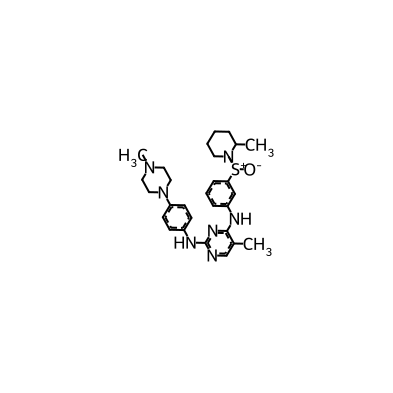 Cc1cnc(Nc2ccc(N3CCN(C)CC3)cc2)nc1Nc1cccc([S+]([O-])N2CCCCC2C)c1